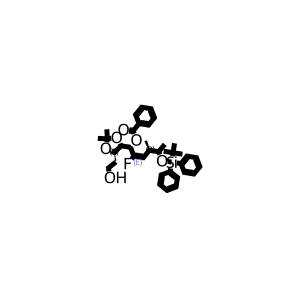 CC(O[Si](c1ccccc1)(c1ccccc1)C(C)(C)C)[C@H](C)/C=C(/F)C(OC(=O)c1ccccc1)C1OC(C)(C)O[C@H]1CCO